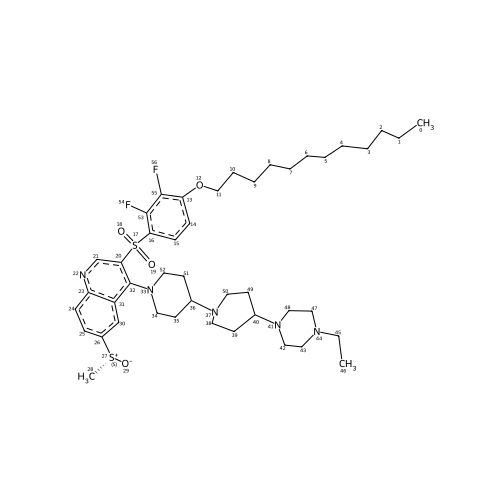 CCCCCCCCCCCCOc1ccc(S(=O)(=O)c2cnc3ccc([S@@+](C)[O-])cc3c2N2CCC(N3CCC(N4CCN(CC)CC4)CC3)CC2)c(F)c1F